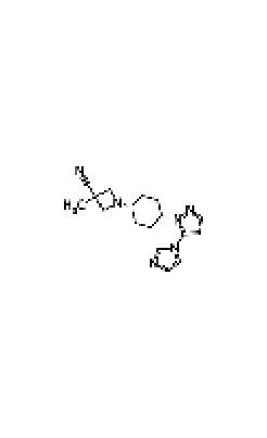 CC1(C#N)CN([C@H]2CC[C@@H](n3nccc3-n3ccnc3)CC2)C1